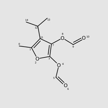 Cc1oc(OC=O)c(OC=O)c1C(C)C